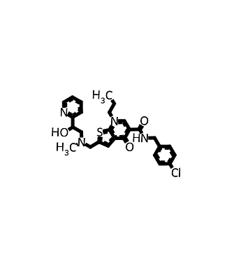 CCCn1cc(C(=O)NCc2ccc(Cl)cc2)c(=O)c2cc(CN(C)CC(O)c3ccccn3)sc21